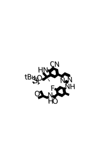 Cc1cc(C(=O)NCC2COC2)c(F)cc1Nc1nccc(-c2cc(C#N)c3c(c2)[C@@](C)(CO[Si](C)(C)C(C)(C)C)CN3)n1